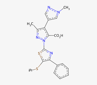 Cc1nn(-c2nc(-c3ccccc3)c(SC(C)C)s2)c(C(=O)O)c1-c1cnn(C)c1